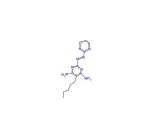 CCCCCc1c(N)nc(N=Nc2ncccn2)nc1N